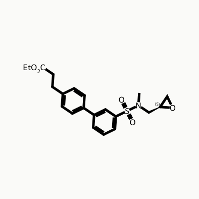 CCOC(=O)CCc1ccc(-c2cccc(S(=O)(=O)N(C)C[C@H]3CO3)c2)cc1